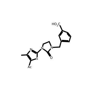 CC(=O)c1sc(N2CCN(Cc3cccc(C(=O)O)c3)C2=O)nc1C